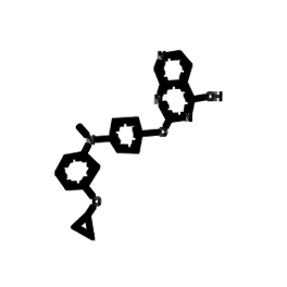 CN(c1ccc(Oc2nc(O)c3ccncc3n2)cc1)c1cccc(OC2CC2)c1